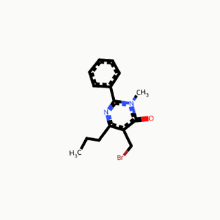 CCCc1nc(-c2ccccc2)n(C)c(=O)c1CBr